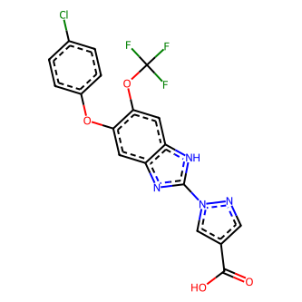 O=C(O)c1cnn(-c2nc3cc(Oc4ccc(Cl)cc4)c(OC(F)(F)F)cc3[nH]2)c1